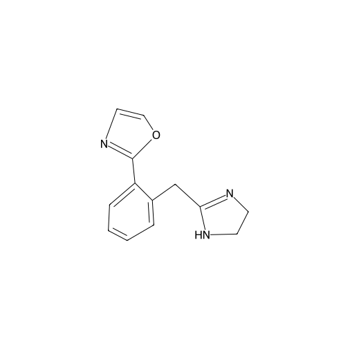 c1ccc(-c2ncco2)c(CC2=NCCN2)c1